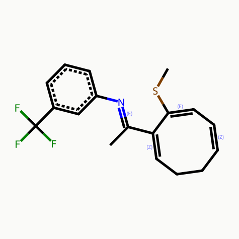 CSC1=C/C=C\CC/C=C\1C(/C)=N/c1cccc(C(F)(F)F)c1